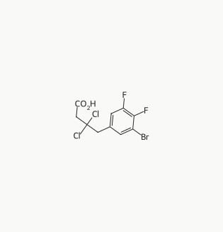 O=C(O)CC(Cl)(Cl)Cc1cc(F)c(F)c(Br)c1